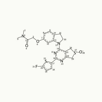 CN(C)C(=O)COc1ccc2c(c1)N(c1nc(-c3ccc(F)s3)nc3c1C[S+]([O-])C3)CC2